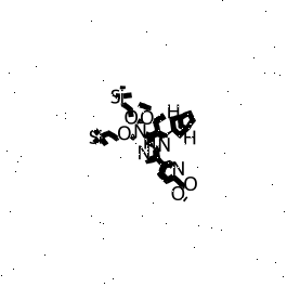 C=C(OCC)c1c([C@H]2C[C@@H]3CC[C@@H](C3)C2)nc2c(-c3ccc(C(=O)OC)nc3)cnn2c1N(COCC[Si](C)(C)C)COCC[Si](C)(C)C